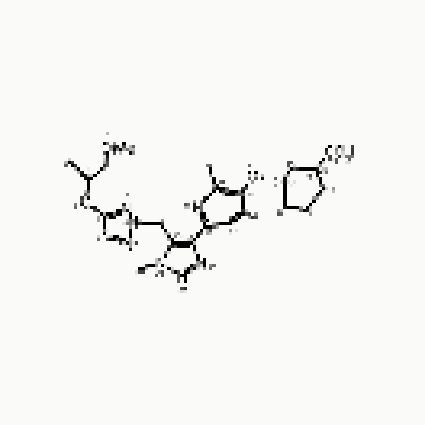 COCC(C)Oc1nnn(Cc2c(-c3ccc(O[C@H]4CCC[C@H](C(=O)O)C4)c(C)n3)nnn2C)n1